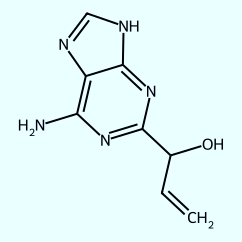 C=CC(O)c1nc(N)c2nc[nH]c2n1